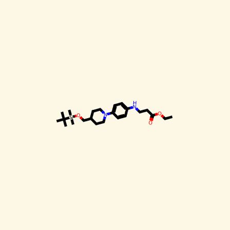 CCOC(=O)CCNc1ccc(N2CCC(CO[Si](C)(C)C(C)(C)C)CC2)cc1